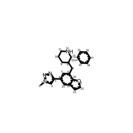 Cn1cc(-c2cc(C[C]3CCCN[C@@H]3c3ccccc3)c3occc3c2)nn1